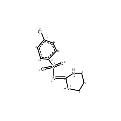 O=S(=O)(N=C1NCCCN1)c1ccc(Cl)cc1